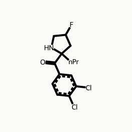 CCCC1(C(=O)c2ccc(Cl)c(Cl)c2)CC(F)CN1